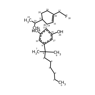 CCCCCCC(C)(C)c1cc(O)c([C@H]2C=C(CF)CCC2C(C)C)c(O)c1